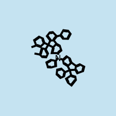 Cc1cccc(C2(c3cccc(C)c3)c3cc(N(c4ccccc4)c4ccc5c(c4)C(c4ccccc4)(c4ccccc4)c4ccccc4-5)ccc3-c3c(-c4ccccc4)cccc32)c1